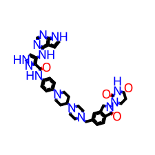 O=C1CCN(N2Cc3cc(CN4CCN(C5CCN(c6ccc(NC(=O)c7n[nH]cc7Nc7ncnc8[nH]ccc78)cc6)CC5)CC4)ccc3C2=O)C(=O)N1